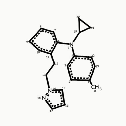 Cc1ccc(N(c2ccccc2CCn2cccn2)C2CC2)cc1